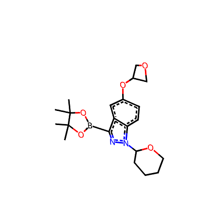 CC1(C)OB(c2nn(C3CCCCO3)c3ccc(OC4COC4)cc23)OC1(C)C